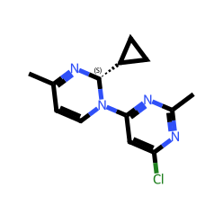 CC1=N[C@H](C2CC2)N(c2cc(Cl)nc(C)n2)C=C1